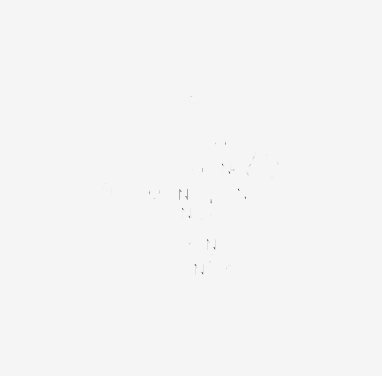 CSc1nccc(-c2cc(-c3nc4ccccc4n3COCC[Si](C)(C)C)c(=O)n(COCC[Si](C)(C)C)n2)n1